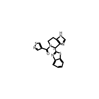 O=C(c1cnsc1)N1CCc2[nH]cnc2[C@H]1c1nc2ccccc2s1